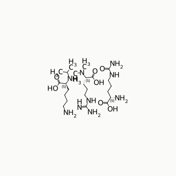 CC(C)N[C@@H](CCCCN)C(=O)O.CN(C)[C@@H](CCCNC(=N)N)C(=O)O.NC(=O)NCCC[C@H](N)C(=O)O